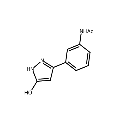 CC(=O)Nc1cccc(-c2cc(O)[nH]n2)c1